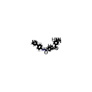 O=C(c1ccc2[nH]nnc2c1)N1C=C2CN(C(=O)/C=C/c3ccc(-c4ccncc4)cc3)C[C@@H]2C1